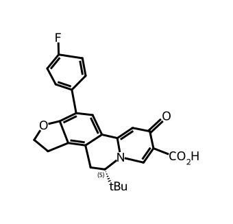 CC(C)(C)[C@@H]1Cc2c(cc(-c3ccc(F)cc3)c3c2CCO3)-c2cc(=O)c(C(=O)O)cn21